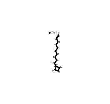 CCCCCCCCC=CCCCCCCCC[C]1CCC1